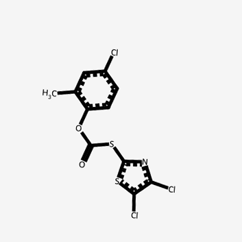 Cc1cc(Cl)ccc1OC(=O)Sc1nc(Cl)c(Cl)s1